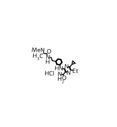 CCc1nc(C(N)=O)c(Nc2cccc(CCNC(=O)[C@H](C)NC)c2)nc1C1CC1.Cl